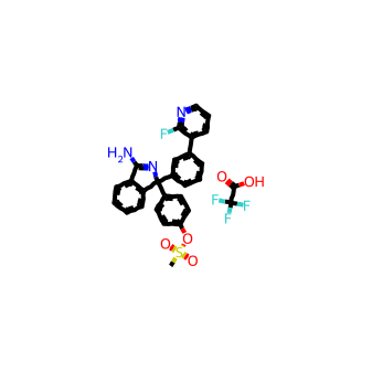 CS(=O)(=O)Oc1ccc(C2(c3cccc(-c4cccnc4F)c3)N=C(N)c3ccccc32)cc1.O=C(O)C(F)(F)F